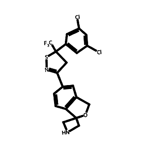 FC(F)(F)C1(c2cc(Cl)cc(Cl)c2)CC(c2ccc3c(c2)COC32CNC2)=NS1